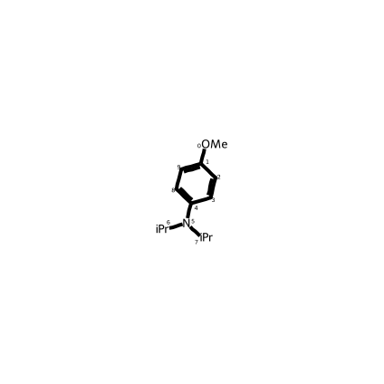 COc1ccc(N(C(C)C)C(C)C)cc1